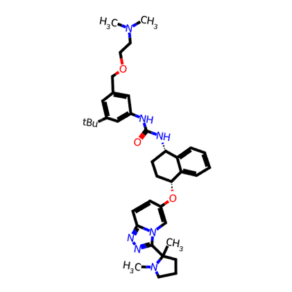 CN(C)CCOCc1cc(NC(=O)N[C@H]2CC[C@@H](Oc3ccc4nnc(C5(C)CCCN5C)n4c3)c3ccccc32)cc(C(C)(C)C)c1